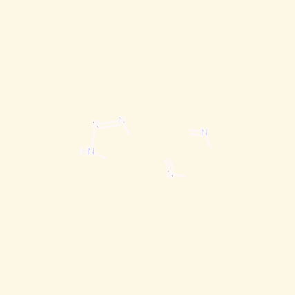 c1cnc(-c2c[nH]nn2)cn1